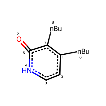 CCCCc1cc[nH]c(=O)c1CCCC